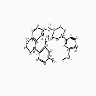 COc1cc(N2CCC(Nc3ncc4c(n3)N(c3ccc(F)cc3Cl)CCO4)CC2)ccn1